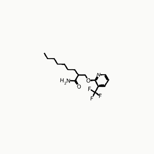 CCCCCCCC(COc1ncccc1C(F)(F)F)C(N)=O